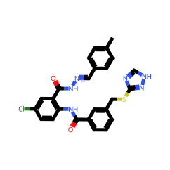 Cc1ccc(/C=N/NC(=O)c2cc(Cl)ccc2NC(=O)c2cccc(CSc3nc[nH]n3)c2)cc1